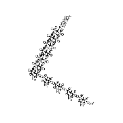 CC(N)(P(=O)([O-])[O-])P(=O)([O-])[O-].CC(N)(P(=O)([O-])[O-])P(=O)([O-])[O-].CC(N)(P(=O)([O-])[O-])P(=O)([O-])[O-].CC(N)(P(=O)([O-])[O-])P(=O)([O-])[O-].CC(N)(P(=O)([O-])[O-])P(=O)([O-])[O-].CC(N)(P(=O)([O-])[O-])P(=O)([O-])[O-].CC(N)(P(=O)([O-])[O-])P(=O)([O-])[O-].CC(N)(P(=O)([O-])[O-])P(=O)([O-])[O-].CC(N)(P(=O)([O-])[O-])P(=O)([O-])[O-].CC(N)(P(=O)([O-])[O-])P(=O)([O-])[O-].CC(N)(P(=O)([O-])[O-])P(=O)([O-])[O-].[Sn+4].[Sn+4].[Sn+4].[Sn+4].[Tc+7].[Tc+7].[Tc+7].[Tc+7]